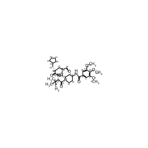 COc1cc(C(=O)NC2CCN(C(=O)[C@@H](NC(=O)[C@H](CC3CCCC3)CN(O)C=O)C(C)(C)C)CC2)cc(OC)c1OC